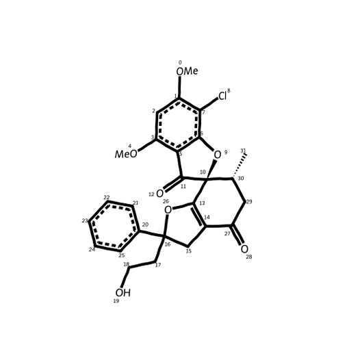 COc1cc(OC)c2c(c1Cl)O[C@]1(C2=O)C2=C(CC(CCO)(c3ccccc3)O2)C(=O)C[C@H]1C